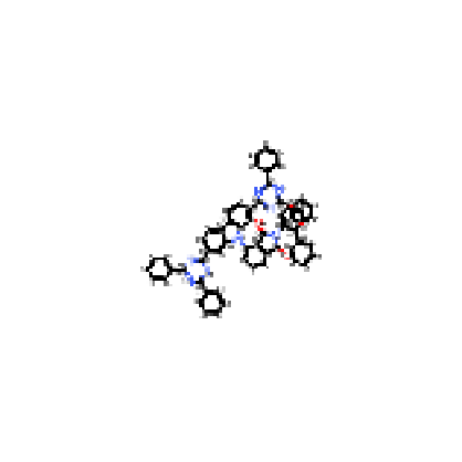 O=C1c2cccc(-n3c4cc(-c5nc(-c6ccccc6)nc(-c6ccccc6)n5)ccc4c4ccc(-c5nc(-c6ccccc6)nc(-c6ccccc6)n5)cc43)c2C(=O)N1c1ccccc1-c1ccccc1